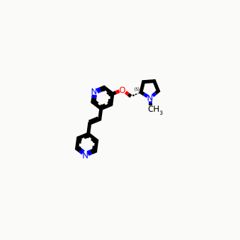 CN1CCC[C@H]1COc1cncc(C=Cc2ccncc2)c1